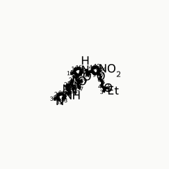 CCOC(C)CCCOc1cc(C(=O)Nc2ccc(C)c(N3Cc4cnc(Nc5ccc(C)nc5)nc4N(C)C3=O)c2)ccc1[N+](=O)[O-]